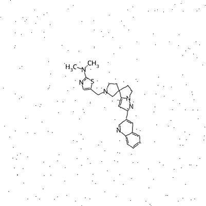 CN(C)c1ncc(CN2CCC3(CCn4nc(-c5cnc6ccccc6c5)cc43)C2)s1